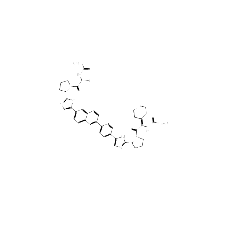 COC(=O)NC(C(=O)N1CCC[C@H]1c1ncc(-c2ccc(-c3ccc4cc(-c5cnc([C@@H]6CCCN6C(=O)[C@@H](NC(=O)OC)C(C)C)[nH]5)ccc4c3)cc2)[nH]1)=C1CCOCC1